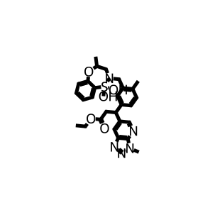 CCOC(=O)CC(c1ccc(C)c(CN2CC(C)Oc3ccccc3S2(O)O)c1)c1cnc2c(c1)nnn2C